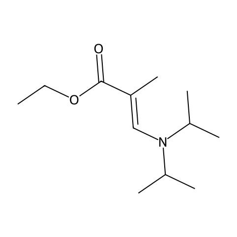 CCOC(=O)C(C)=CN(C(C)C)C(C)C